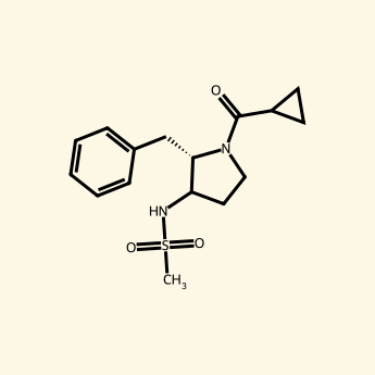 CS(=O)(=O)NC1CCN(C(=O)C2CC2)[C@H]1Cc1ccccc1